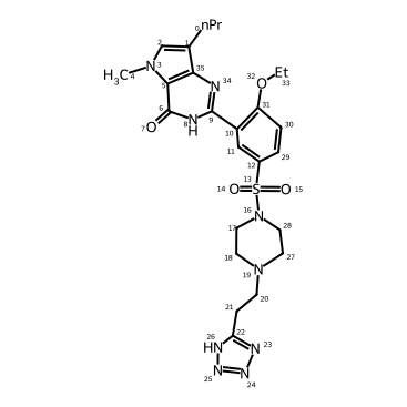 CCCc1cn(C)c2c(=O)[nH]c(-c3cc(S(=O)(=O)N4CCN(CCc5nnn[nH]5)CC4)ccc3OCC)nc12